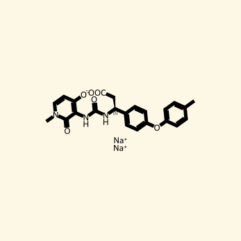 Cc1ccc(Oc2ccc([C@H](CC(=O)[O-])NC(=O)Nc3c([O-])ccn(C)c3=O)cc2)cc1.[Na+].[Na+]